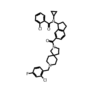 O=C(c1ccc2c(c1)C(N(C(=O)c1ccccc1Cl)C1CC1)CC2)N1CCC2(CCN(Cc3ccc(F)cc3Cl)CC2)C1